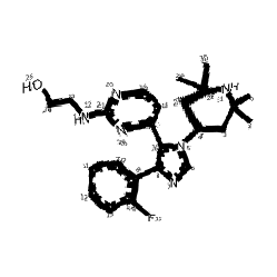 CC1(C)CC(n2cnc(-c3ccccc3F)c2-c2ccnc(NCCO)n2)CC(C)(C)N1